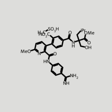 COC(=O)C(CO)(CC(C)C)NC(=O)c1ccc(-c2ccc(OC)nc2C(=O)Nc2ccc(C(=N)N)cc2)c(C(=O)O)c1.CS(=O)(=O)O